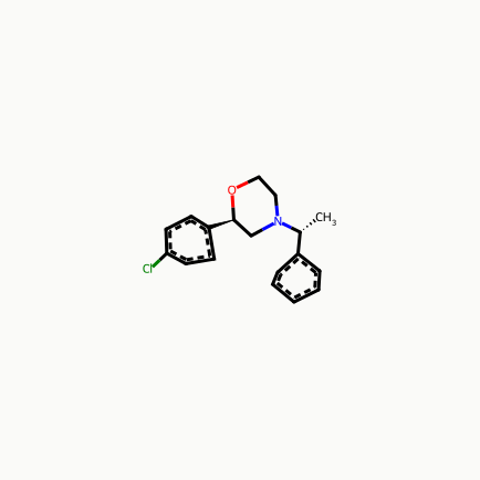 C[C@H](c1ccccc1)N1CCO[C@H](c2ccc(Cl)cc2)C1